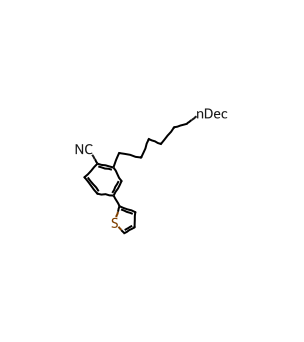 CCCCCCCCCCCCCCCCc1cc(-c2cccs2)ccc1C#N